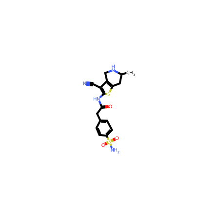 CC1Cc2sc(NC(=O)Cc3ccc(S(N)(=O)=O)cc3)c(C#N)c2CN1